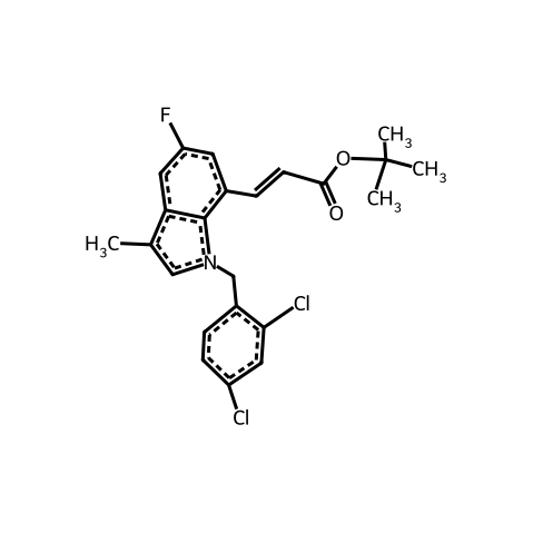 Cc1cn(Cc2ccc(Cl)cc2Cl)c2c(/C=C/C(=O)OC(C)(C)C)cc(F)cc12